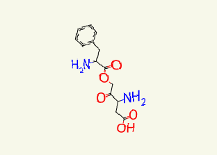 NC(CC(=O)O)C(=O)COC(=O)C(N)Cc1ccccc1